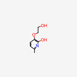 Cc1ccc(OCCO)c(O)n1